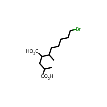 CC(CC(C(=O)O)C(C)CCCCCBr)C(=O)O